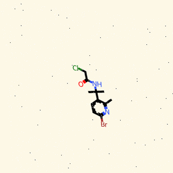 Cc1nc(Br)ccc1C(C)(C)NC(=O)CCl